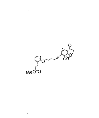 CCCc1c(C#CCCCCOc2ccccc2CCC(=O)OC)ccc2c1OCCC2=O